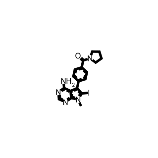 Cn1c(I)c(-c2ccc(C(=O)N3CCCC3)cc2)c2c(N)ncnc21